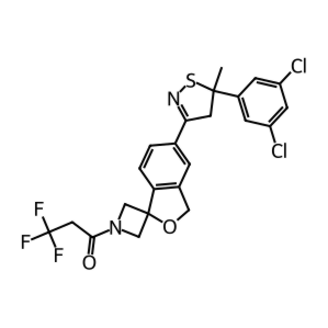 CC1(c2cc(Cl)cc(Cl)c2)CC(c2ccc3c(c2)COC32CN(C(=O)CC(F)(F)F)C2)=NS1